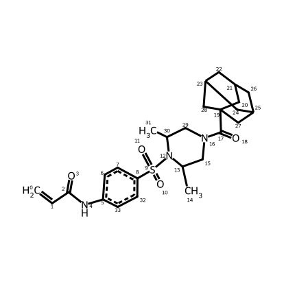 C=CC(=O)Nc1ccc(S(=O)(=O)N2C(C)CN(C(=O)C34CC5CC(CC(C5)C3)C4)CC2C)cc1